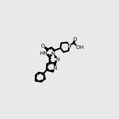 O=C(O)N1CCC(c2cc(=O)[nH]c3c4cc(-c5ccccc5)cnc4nn23)CC1